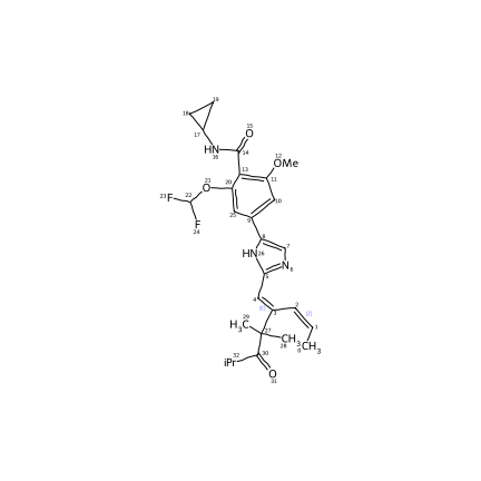 C/C=C\C(=C/c1ncc(-c2cc(OC)c(C(=O)NC3CC3)c(OC(F)F)c2)[nH]1)C(C)(C)C(=O)C(C)C